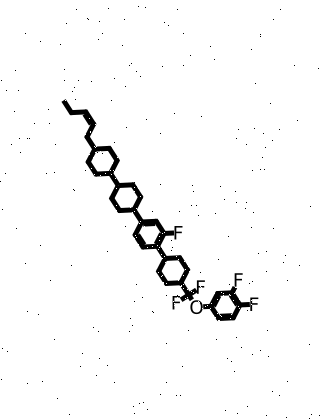 CC/C=C\CC1CCC(C2CCC(c3ccc(C4CCC(C(F)(F)Oc5ccc(F)c(F)c5)CC4)c(F)c3)CC2)CC1